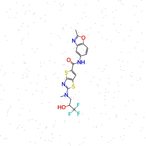 Cc1nc2cc(NC(=O)c3cc4sc(N(C)CC(O)C(F)(F)F)nc4s3)ccc2o1